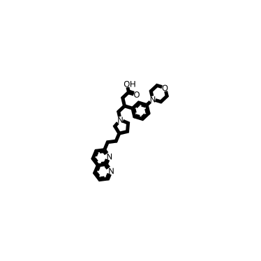 O=C(O)CC(CN1CCC(CCc2ccc3cccnc3n2)C1)c1cccc(N2CCOCC2)c1